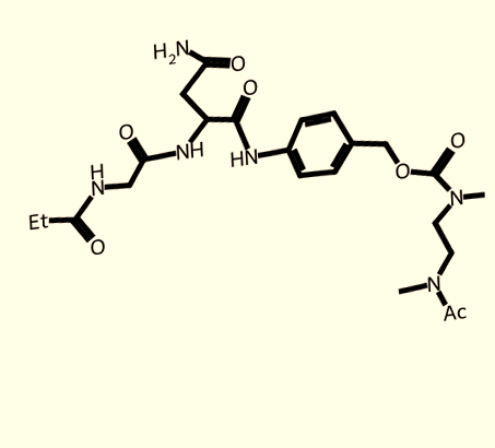 CCC(=O)NCC(=O)NC(CC(N)=O)C(=O)Nc1ccc(COC(=O)N(C)CCN(C)C(C)=O)cc1